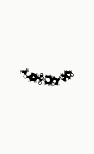 O=S(=O)(c1ccc(OC(F)F)cc1)N1CCC2(CC1)CC(N1CC3(CCOC3)C1)CO2